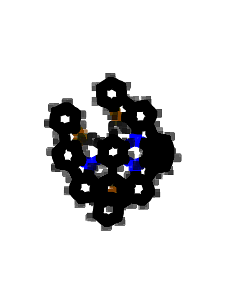 N#Cc1c(C#N)c(-n2c3ccccc3c3ccc4c5ccccc5sc4c32)c(-n2c3ccccc3c3ccc4c5ccccc5sc4c32)c(-c2ccccc2)c1-n1c2ccccc2c2ccc3c4ccccc4sc3c21